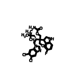 CC(C)(C)C[C@@H](Cn1cnc2cc(Cl)c(Cl)cc21)C(CO)(COC(N)=O)C1CNc2ccc(F)cc21